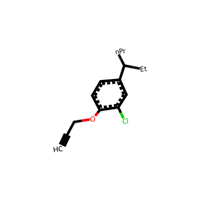 C#CCOc1ccc(C(CC)CCC)cc1Cl